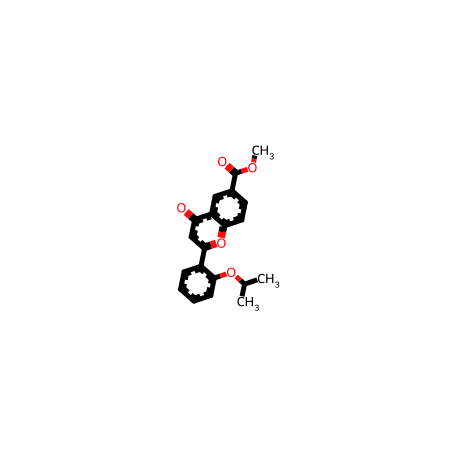 COC(=O)c1ccc2oc(-c3ccccc3OC(C)C)cc(=O)c2c1